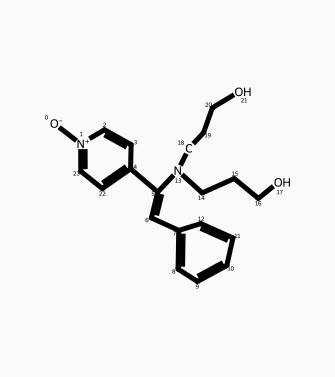 [O-][n+]1ccc(C(=Cc2ccccc2)N(CCCO)CCCO)cc1